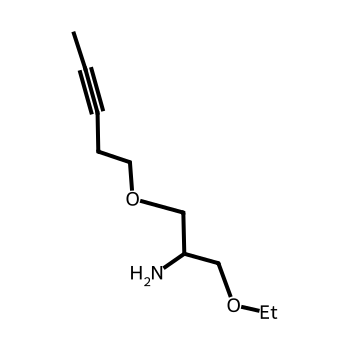 CC#CCCOCC(N)COCC